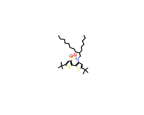 CCCCCCCCC(CCCCCC)CN1c2cc(C(C)(C)C)sc2-c2sc(C(C)(C)C)cc2S1(=O)=O